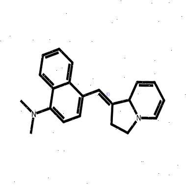 CN(C)c1ccc(/C=C2\CCN3C=CC=CC23)c2ccccc12